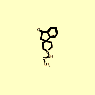 COBN1CCC2(CC1)CC(=O)c1ccccc12